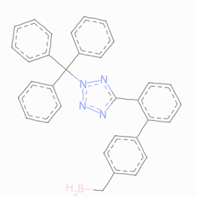 BCc1ccc(-c2ccccc2-c2nnn(C(c3ccccc3)(c3ccccc3)c3ccccc3)n2)cc1